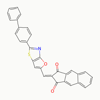 O=C1C(=Cc2cc3sc(-c4ccc(-c5ccccc5)cc4)nc3o2)C(=O)c2cc3ccccc3cc21